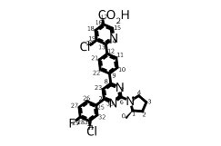 C[C@@H]1CCCN1c1nc(-c2ccc(-c3ncc(C(=O)O)cc3Cl)cc2)cc(-c2ccc(F)c(Cl)c2)n1